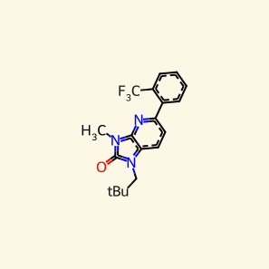 Cn1c(=O)n(CC(C)(C)C)c2ccc(-c3ccccc3C(F)(F)F)nc21